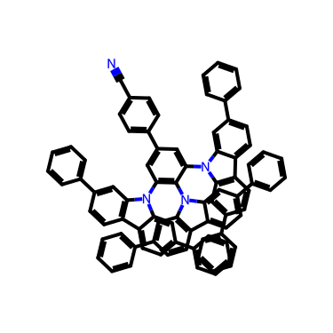 N#Cc1ccc(-c2cc(-n3c4cc(-c5ccccc5)ccc4c4ccc(-c5ccccc5)cc43)c(-n3c4cc(-c5ccccc5)ccc4c4ccc(-c5ccccc5)cc43)c(-n3c4cc(-c5ccccc5)ccc4c4ccc(-c5ccccc5)cc43)c2)cc1